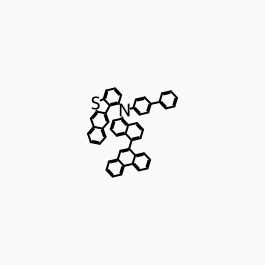 c1ccc(-c2ccc(N(c3cccc4c(-c5cc6ccccc6c6ccccc56)cccc34)c3cccc4sc5cc6ccccc6cc5c34)cc2)cc1